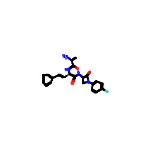 C[C@H](N)C(=O)N[C@@H](CCc1ccccc1)C(=O)N[C@@H]1CN(c2ccc(F)cc2)C1=O